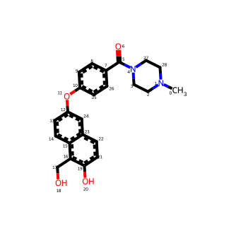 CN1CCN(C(=O)c2ccc(Oc3ccc4c(CO)c(O)ccc4c3)cc2)CC1